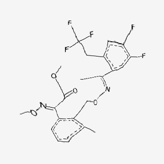 CO/N=C(/C(=O)OC)c1cccc(C)c1CO/N=C(\C)c1cc(F)c(F)cc1CC(F)(F)F